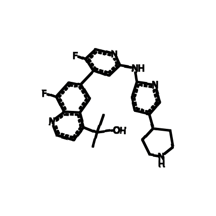 CC(C)(O)c1ccnc2c(F)cc(-c3cc(Nc4ccc(C5CCNCC5)cn4)ncc3F)cc12